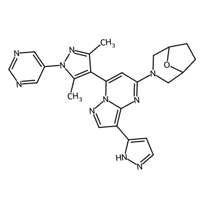 Cc1nn(-c2cncnc2)c(C)c1-c1cc(N2CC3CCC(C2)O3)nc2c(-c3ccn[nH]3)cnn12